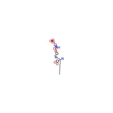 CCCCCCCCCCCCC(C#N)(CCCN(C)C(C)c1cccc(OCC(=O)NN2CCC(C(C)O[N+](=O)[O-])CC2)c1)c1ccc(OC)c(OC)c1